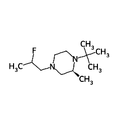 CC(F)CN1CCN(C(C)(C)C)[C@@H](C)C1